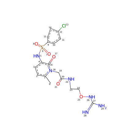 Cc1ccc(NS(=O)(=O)c2ccc(Cl)cc2)c(=O)n1CC(=O)NCCONC(=N)N